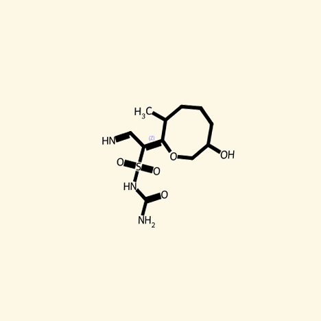 CC1CCCC(O)CO/C1=C(/C=N)S(=O)(=O)NC(N)=O